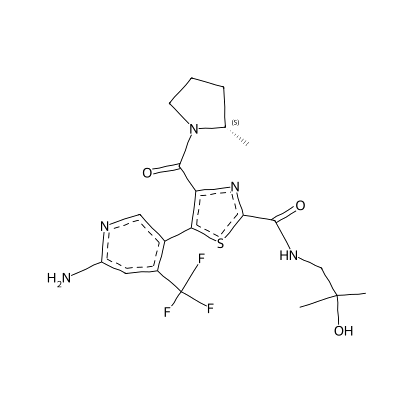 C[C@H]1CCCN1C(=O)c1nc(C(=O)NCC(C)(C)O)sc1-c1cnc(N)cc1C(F)(F)F